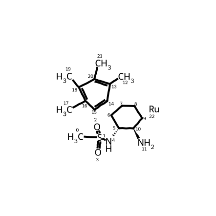 CS(=O)(=O)N[C@@H]1CCCC[C@H]1N.Cc1ccc(C)c(C)c1C.[Ru]